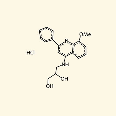 COc1cccc2c(NCC(O)CO)cc(-c3ccccc3)nc12.Cl